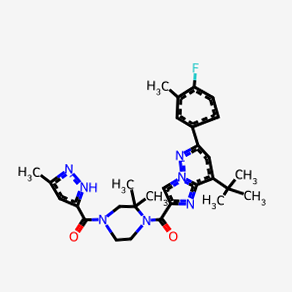 Cc1cc(C(=O)N2CCN(C(=O)c3cn4nc(-c5ccc(F)c(C)c5)cc(C(C)(C)C)c4n3)C(C)(C)C2)[nH]n1